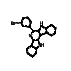 Brc1cccc(-c2nc3c4ccccc4[nH]c3c3c2[nH]c2ccccc23)c1